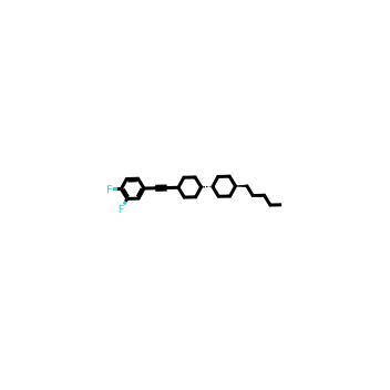 CCCCC[C@H]1CC[C@H](C2CCC(C#Cc3ccc(F)c(F)c3)CC2)CC1